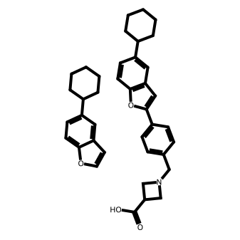 O=C(O)C1CN(Cc2ccc(-c3cc4cc(C5CCCCC5)ccc4o3)cc2)C1.c1cc2cc(C3CCCCC3)ccc2o1